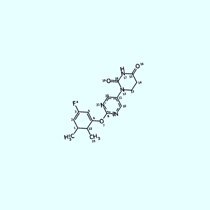 CC1C=C(F)C=C(Oc2ncc(N3CCC(=O)NC3=O)cn2)C1C